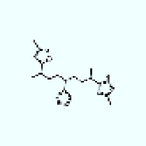 Cc1c[nH]c(C(C)CCC(CCC(C)c2nc(C)co2)c2ncco2)n1